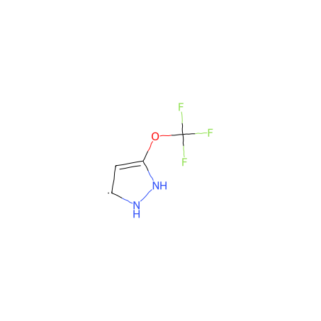 FC(F)(F)OC1=C[CH]NN1